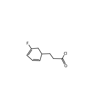 O=C(Cl)CCC1C=CC=C(F)C1